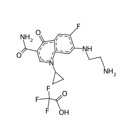 NCCNc1cc2c(cc1F)c(=O)c(C(N)=O)cn2C1CC1.O=C(O)C(F)(F)F